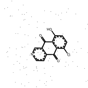 O=C1c2cnccc2C(=O)c2c(Cl)ccc(O)c21